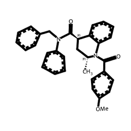 COc1ccc(C(=O)N2c3ccccc3[C@H](C(=O)N(Cc3ccccc3)c3ccccc3)C[C@H]2C)cc1